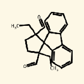 CCC1(C=O)CCC(C=O)(CC)C12c1ccccc1-c1ccccc12